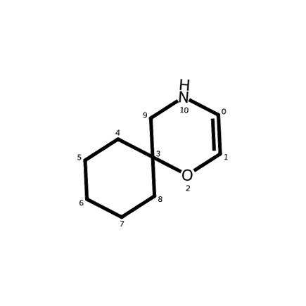 C1=COC2(CCCCC2)CN1